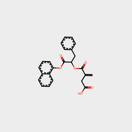 C=C(CC(=O)O)C(=O)OC(Cc1ccccc1)C(=O)Oc1cccc2ccccc12